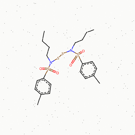 CCCCN(SSN(CCCC)S(=O)(=O)c1ccc(C)cc1)S(=O)(=O)c1ccc(C)cc1